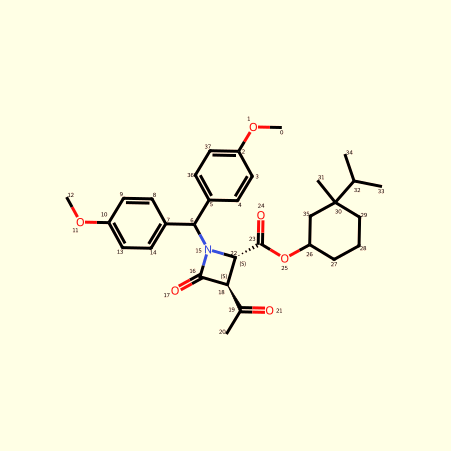 COc1ccc(C(c2ccc(OC)cc2)N2C(=O)[C@H](C(C)=O)[C@H]2C(=O)OC2CCCC(C)(C(C)C)C2)cc1